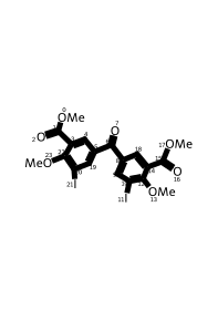 COC(=O)c1cc(C(=O)c2cc(I)c(OC)c(C(=O)OC)c2)cc(I)c1OC